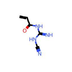 C=CC(=O)NC(=N)NC#N